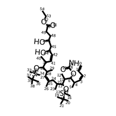 C=C/C=C\C(C)C(OC(N)=O)C(C)C(O[Si](C)(C)C(C)(C)C)C(C)C/C(C)=C\C(C)C(O[Si](C)(C)C(C)(C)C)C(C)/C=C\C(O)CC(O)CCC(=O)OCC